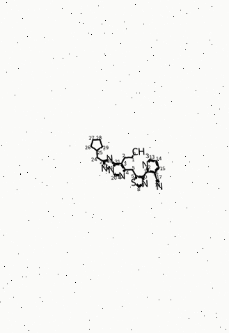 CCCc1c(Cc2scnc2-c2ncccc2C#N)ncn2nc(CC3CCCC3)nc12